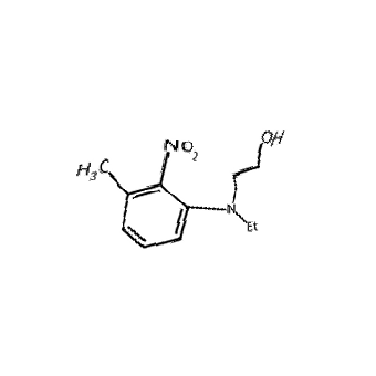 CCN(CCO)c1cccc(C)c1[N+](=O)[O-]